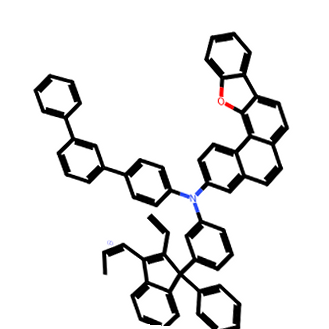 C=CC1=C(/C=C\C)c2ccccc2C1(c1ccccc1)c1cccc(N(c2ccc(-c3cccc(-c4ccccc4)c3)cc2)c2ccc3c(ccc4ccc5c6ccccc6oc5c43)c2)c1